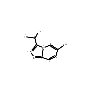 CCC(CC)c1nnc2ccc(F)cn12